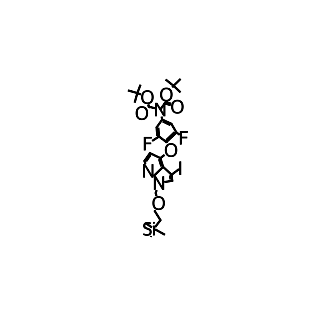 CC(C)(C)OC(=O)N(C(=O)OC(C)(C)C)c1cc(F)c(Oc2ccnc3c2c(I)cn3COCC[Si](C)(C)C)c(F)c1